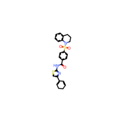 O=C(Nc1nc(C2=CCCC=C2)cs1)c1ccc(S(=O)(=O)N2CCCc3ccccc32)cc1